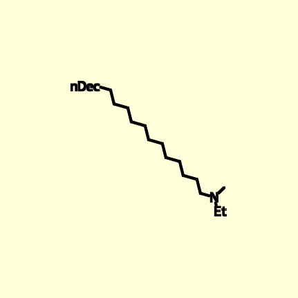 CCCCCCCCCCCCCCCCCCCCCCN(C)CC